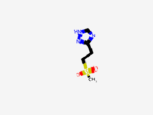 CS(=O)(=O)CCc1nc[nH]n1